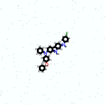 CN(c1ccc(F)cc1)c1ccc2c3ccc(N(c4ccccc4)c4ccc(Oc5ccccc5)cc4)cc3n(C)c2c1